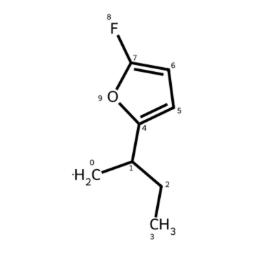 [CH2]C(CC)c1ccc(F)o1